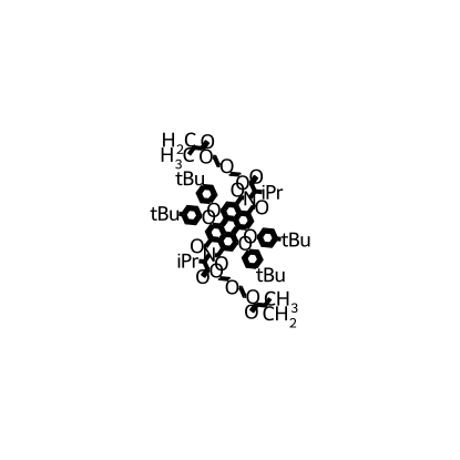 C=C(C)C(=O)OCCOCCOC(=O)C(C(C)C)N1C(=O)c2cc(Oc3ccc(C(C)(C)C)cc3)c3c4c(Oc5ccc(C(C)(C)C)cc5)cc5c6c(cc(Oc7ccc(C(C)(C)C)cc7)c(c7c(Oc8ccc(C(C)(C)C)cc8)cc(c2c37)C1=O)c64)C(=O)N(C(C(=O)OCCOCCOC(=O)C(=C)C)C(C)C)C5=O